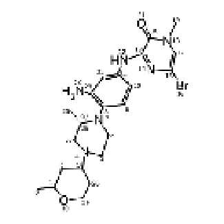 CC1CC(N2CCN(c3ccc(Nc4nc(Br)cn(C)c4=O)cc3N)[C@@H](C)C2)CCO1